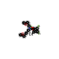 CCc1cc(-c2cccc(N(c3ccc(-c4ccc(-c5cccc6c5oc5ccccc56)cc4)cc3)c3ccc(-c4cccc5c4oc4ccccc45)cc3)c2)c2c(c1)-c1cc(F)ccc1C21c2ccc(F)cc2-c2cc(F)ccc21